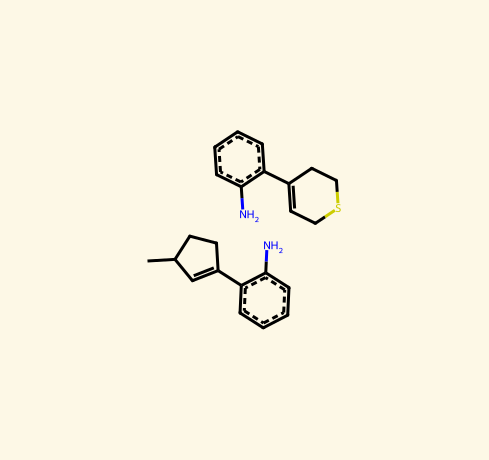 CC1C=C(c2ccccc2N)CC1.Nc1ccccc1C1=CCSCC1